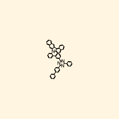 c1ccc(-c2ccc(-c3nc(-c4ccccc4)nc(-c4cccc(-c5ccccc5-n5c6cc7ccccc7cc6c6c7ccccc7ccc65)c4)n3)cc2)cc1